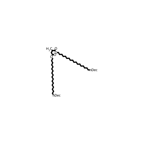 C=C(CC(=O)OCCCCCCCCCCCCCCCCCCCCCCCCCCCC)C(=O)OCCCCCCCCCCCCCCCCCCCCCCCCCCCC